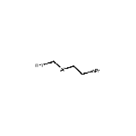 CCCC[CH2][Al][CH2]CCC